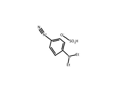 CCN(CC)c1ccc([N+]#N)cc1.O=S(=O)([O-])O